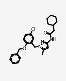 Cc1cc(NC(=O)CC2CCCCC2)nn1Cc1cc(Cl)ccc1OCc1ccccc1